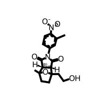 Cc1cc(N2C(=O)[C@@H]3[C@H](C2=O)C2(CCO)CCC3(C)O2)ccc1[N+](=O)[O-]